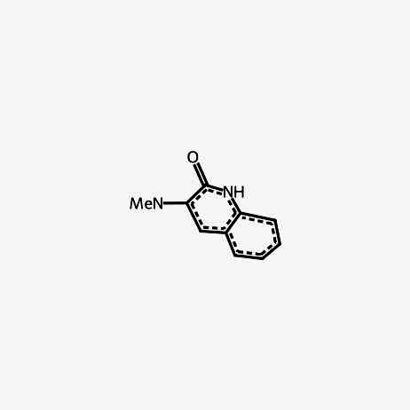 CNc1cc2ccccc2[nH]c1=O